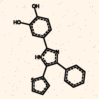 Oc1ccc(-c2nc(-c3ccccc3)c(-c3cccs3)[nH]2)cc1O